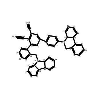 N#Cc1cc(-c2ccc(N3Cc4ccccc4C4C=CC=CC43)cc2)cc(-c2ccccc2CN2c3ccccc3C3C=CC=CC32)c1C#N